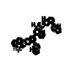 CN(C[C@H]1Cc2c(cc(C3CC[C@H](N(C)C[C@H]4Cc5c(cccc5N5CCN6CCC[C@H]6C5)CN4)c4ncccc43)cc2N2CCN3CCC[C@@H]3C2)CN1)[C@H]1CCCc2cccnc21